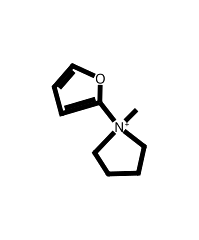 C[N+]1(c2ccco2)CCCC1